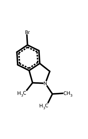 CC(C)N1Cc2cc(Br)ccc2C1C